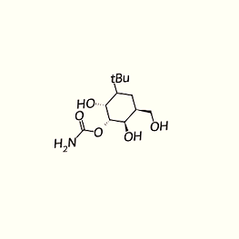 CC(C)(C)C1C[C@@H](CO)[C@@H](O)[C@H](OC(N)=O)[C@@H]1O